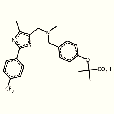 Cc1nc(-c2ccc(C(F)(F)F)cc2)sc1CN(C)Cc1ccc(OC(C)(C)C(=O)O)cc1